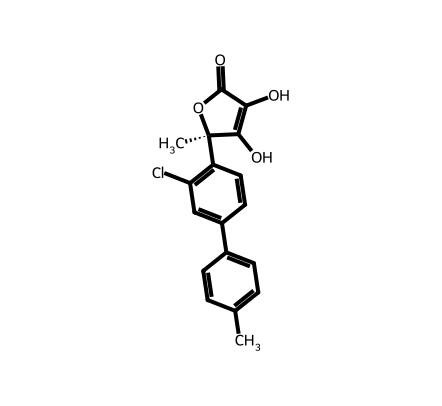 Cc1ccc(-c2ccc([C@@]3(C)OC(=O)C(O)=C3O)c(Cl)c2)cc1